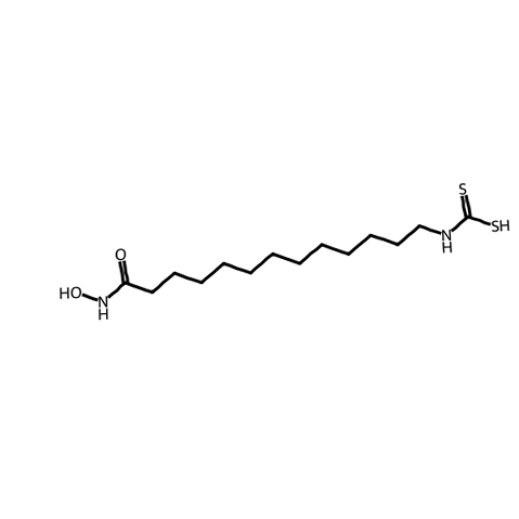 O=C(CCCCCCCCCCCCNC(=S)S)NO